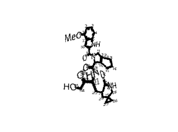 COc1cccc2[nH]c(C(=O)N3CC4CCCC4C3C(=O)NC(CC3CC4(CC4)CNC3=O)C(=O)CO)cc12